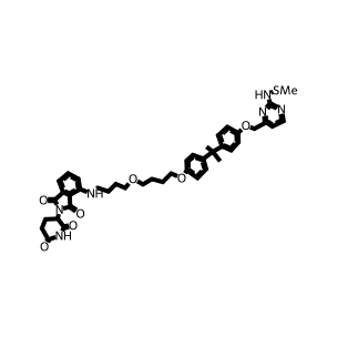 CSNc1nccc(COc2ccc(C(C)(C)c3ccc(OCCCCOCCCCNc4cccc5c4C(=O)N(C4CCC(=O)NC4=O)C5=O)cc3)cc2)n1